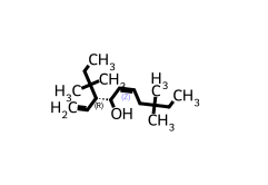 C=C[C@@H](C(O)/C=C\CC(C)(C)CC)C(C)(C)CC